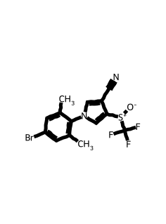 Cc1cc(Br)cc(C)c1-n1cc(C#N)c([S+]([O-])C(F)(F)F)c1